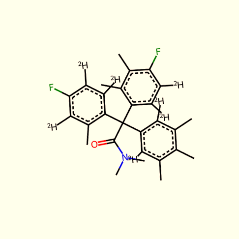 [2H]c1c([2H])c(C(C(=O)N(C)C)(c2c([2H])c(C)c(C)c(C)c2[2H])c2c([2H])c([2H])c(F)c(C)c2C)c(C)c([2H])c1F